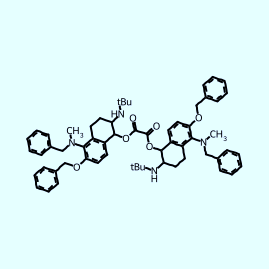 CN(Cc1ccccc1)c1c(OCc2ccccc2)ccc2c1CCC(NC(C)(C)C)C2OC(=O)C(=O)OC1c2ccc(OCc3ccccc3)c(N(C)Cc3ccccc3)c2CCC1NC(C)(C)C